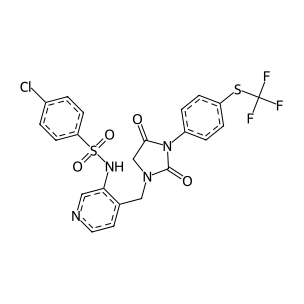 O=C1CN(Cc2ccncc2NS(=O)(=O)c2ccc(Cl)cc2)C(=O)N1c1ccc(SC(F)(F)F)cc1